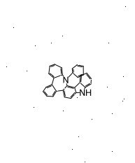 c1ccc(N2c3ccccc3-c3ccccc3-c3ccc4[nH]c5ccccc5c4c32)cc1